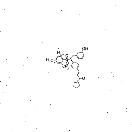 Cc1cc(C)c(S(=O)(=O)N(Cc2cccc(O)c2)c2ccc(C=CC(=O)N3CCCC3)cc2)c(C)c1